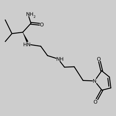 CC(C)[C@H](NCCNCCCN1C(=O)C=CC1=O)C(N)=O